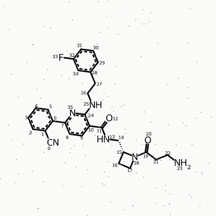 N#Cc1ccccc1-c1ccc(C(=O)NC[C@H]2CCN2C(=O)CCN)c(NCCc2cccc(F)c2)n1